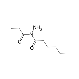 CCCCCC(=O)N(N)C(=O)CC